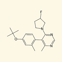 Cc1cc(OC(C)(C)C)ccc1-c1c(C)ncnc1N1CCC(F)C1